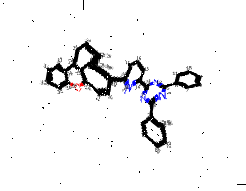 C1=CC(c2nc(-c3ccccc3)nc(-c3cccc(-c4ccc5c6c(cccc46)-c4ccccc4O5)n3)n2)=CCC1